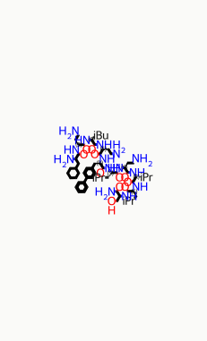 CCC(C)[C@H](NC(=O)[C@H](CCN)NC(=O)C(N)CC1CCCCC1)C(=O)N[C@@H](CCN)C(=O)N[C@H](Cc1ccc(-c2ccccc2)cc1)C(=O)N[C@@H](CC(C)C)C(=O)N[C@@H](CCN)C(=O)N[C@@H](C(=O)N[C@@H](CC(C)C)C(=O)NC(CO)C(N)=O)C(C)C